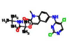 BC(B)(B)NC(=O)C(B)(B)Oc1cc2cc(Nc3nc(Cl)ncc3Cl)ccc2n(C)c1=O